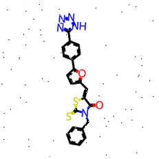 O=C1C(=Cc2ccc(-c3ccc(-c4nnn[nH]4)cc3)o2)SC(=S)N1Cc1ccccc1